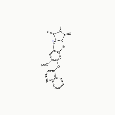 COc1cc(/C=C2\SC(=O)N(C)C2=O)c(Br)cc1Oc1ccnc2ccccc12